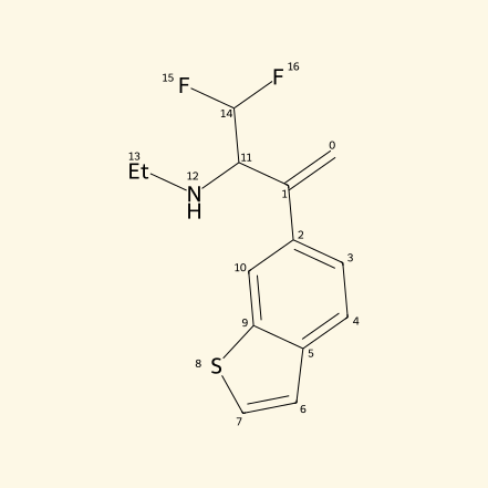 C=C(c1ccc2ccsc2c1)C(NCC)C(F)F